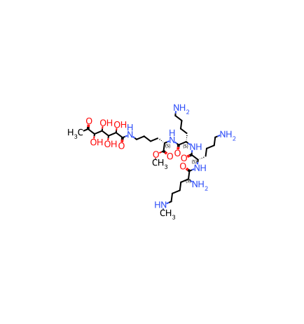 CNCCCC[C@H](N)C(=O)N[C@@H](CCCCN)C(=O)N[C@@H](CCCCN)C(=O)N[C@@H](CCCCNC(=O)C(O)C(O)C(O)C(O)C(C)=O)C(=O)OC